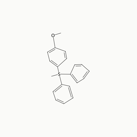 COc1ccc(S(C)(c2ccccc2)c2ccccc2)cc1